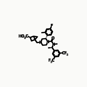 Cc1cc(F)ccc1[C@H]1CN(CC23CC2[C@H](C(=O)O)C3)CCN1C(=O)N(C)[C@H](C)c1cc(C(F)(F)F)cc(C(F)(F)F)c1